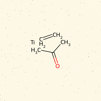 C=C.CC(C)=O.[Ti]